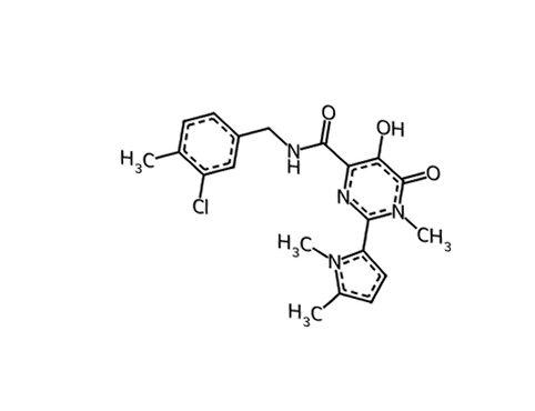 Cc1ccc(CNC(=O)c2nc(-c3ccc(C)n3C)n(C)c(=O)c2O)cc1Cl